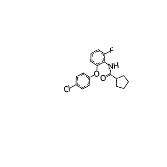 O=C(Nc1c(F)cccc1Oc1ccc(Cl)cc1)C1CCCC1